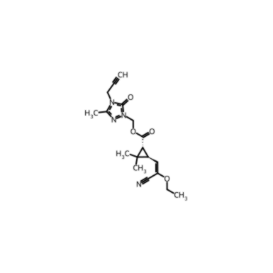 C#CCn1c(C)nn(COC(=O)[C@@H]2[C@@H](/C=C(\C#N)OCC)C2(C)C)c1=O